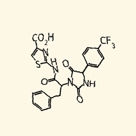 O=C(O)c1csc(NC(=O)C(Cc2ccccc2)N2C(=O)NC(c3ccc(C(F)(F)F)cc3)C2=O)n1